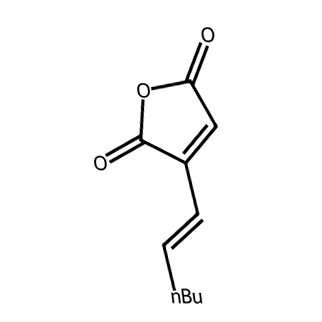 CCCCC=CC1=CC(=O)OC1=O